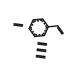 C=C.C=C.C=C.C=C.C=Cc1ccccc1